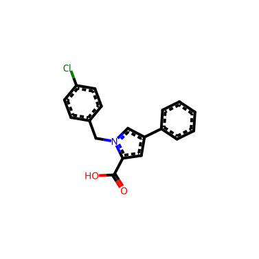 O=C(O)c1cc(-c2ccccc2)cn1Cc1ccc(Cl)cc1